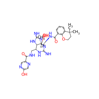 CC1(C)CCOc2c(C(=O)N[C@H]3CN4C(=N)NC(CNC(=O)c5cnc(O)cn5)C5NC(=N)N(O)C54[C@@]3(C)O)cccc21